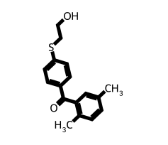 Cc1ccc(C)c(C(=O)c2ccc(SCCO)cc2)c1